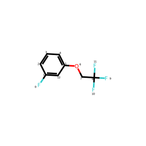 Fc1cccc(OCC(F)(F)F)c1